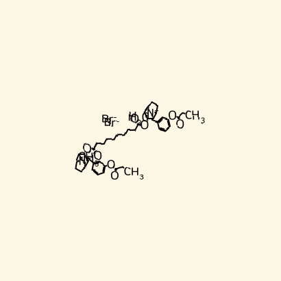 CCC(=O)Oc1cccc(C[N+]2(C)C3CCC2CC(OC(=O)CCCCCCCCC(=O)OC2CC4CCC(C2)[N+]4(C)Cc2cccc(OC(=O)CC)c2)C3)c1.[Br-].[Br-]